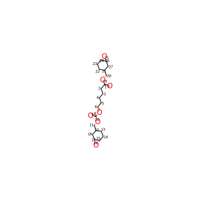 O=C(CCCCCOC(=O)OCC1CCC2OC2C1)OCC1CCC2OC2C1